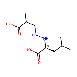 CC(C)C[C@H](NNCC(C)C(=O)O)C(=O)O